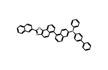 c1ccc(-c2ccc(N(c3ccccc3)c3ccc4c(-c5cccc6c5ccc5nc(-c7ccc8ccccc8c7)oc56)cccc4c3)cc2)cc1